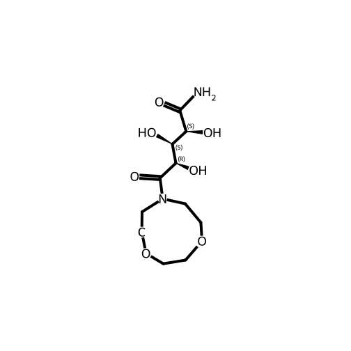 NC(=O)[C@@H](O)[C@H](O)[C@@H](O)C(=O)N1CCOCCOCC1